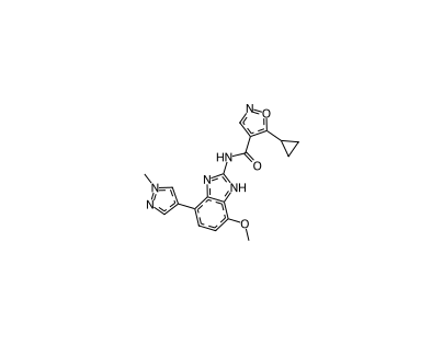 COc1ccc(-c2cnn(C)c2)c2nc(NC(=O)c3cnoc3C3CC3)[nH]c12